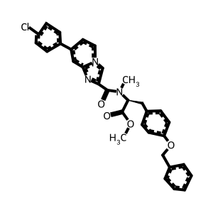 COC(=O)[C@H](Cc1ccc(OCc2ccccc2)cc1)N(C)C(=O)c1cn2ccc(-c3ccc(Cl)cc3)cc2n1